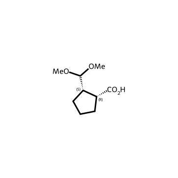 COC(OC)[C@H]1CCC[C@H]1C(=O)O